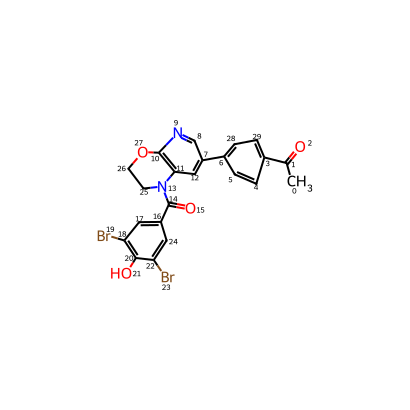 CC(=O)c1ccc(-c2cnc3c(c2)N(C(=O)c2cc(Br)c(O)c(Br)c2)CCO3)cc1